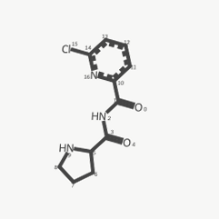 O=C(NC(=O)C1CCCN1)c1cccc(Cl)n1